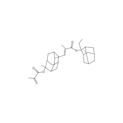 C=C(C)C(=O)OC1(C)C2CC3CC(CC1C3)C(/C=C(\C)C(=O)OC1(CC)C3CC4CC(C3)CC1C4)C2